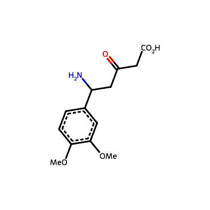 COc1ccc(C(N)CC(=O)CC(=O)O)cc1OC